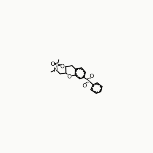 CN(CC1CCc2ccc(S(=O)(=O)c3ccccc3)cc2O1)S(C)(=O)=O